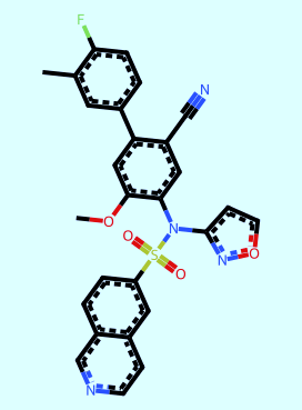 COc1cc(-c2ccc(F)c(C)c2)c(C#N)cc1N(c1ccon1)S(=O)(=O)c1ccc2cnccc2c1